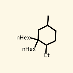 CCCCCCC1(CCCCCC)CC(C)CCC1CC